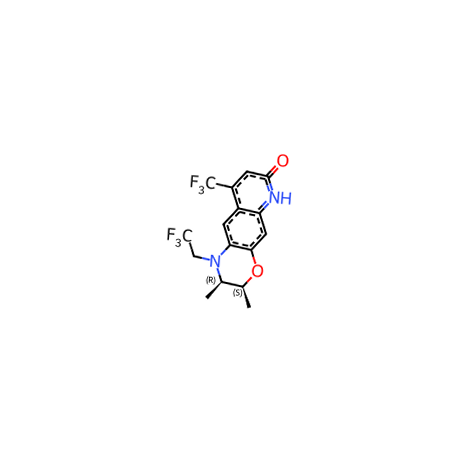 C[C@@H]1Oc2cc3[nH]c(=O)cc(C(F)(F)F)c3cc2N(CC(F)(F)F)[C@@H]1C